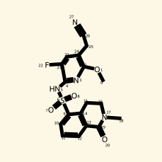 COc1nc(NS(=O)(=O)c2cccc3c2CCN(C)C3=O)c(F)cc1CC#N